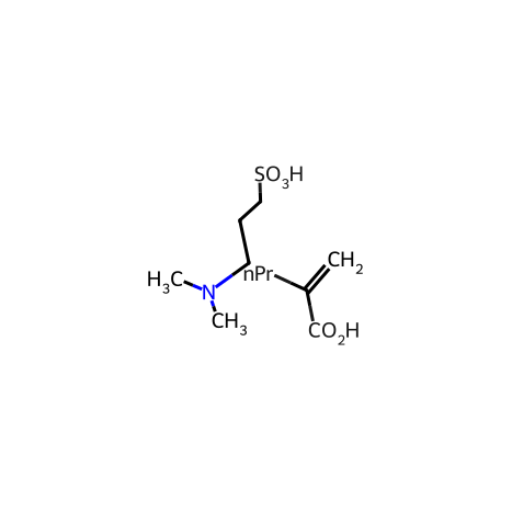 C=C(CCC)C(=O)O.CN(C)CCCS(=O)(=O)O